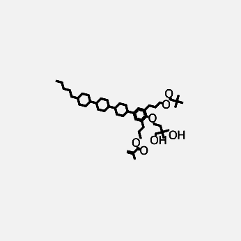 C=C(C)C(=O)OCCCc1cc(C2CCC(C3CCC(C4CCC(CCCCC)CC4)CC3)CC2)cc(CCCOC(=O)C(C)(C)C)c1OCCC(C)(CO)CO